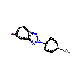 O=[N+]([O-])c1ccc(-n2nc3ccc(I)cc3n2)cc1